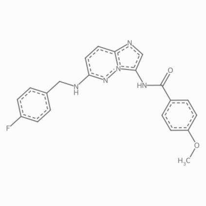 COc1ccc(C(=O)Nc2cnc3ccc(NCc4ccc(F)cc4)nn23)cc1